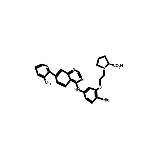 CC(C)(C)c1ccc(Nc2ncnc3cc(-c4ncccc4C(F)(F)F)ccc23)cc1OCCN1CCC[C@H]1C(=O)O